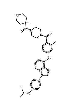 Cc1cc(Nc2nccn3c(-c4ccc(OC(F)F)cc4)cnc23)ccc1C(=O)N1CCN(C(=O)C2(C)CCNCC2)CC1